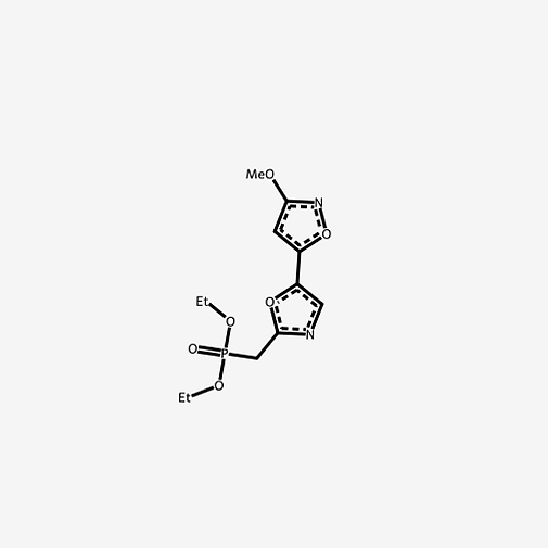 CCOP(=O)(Cc1ncc(-c2cc(OC)no2)o1)OCC